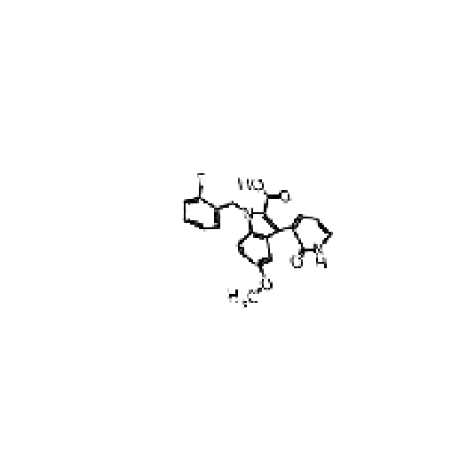 COc1ccc2c(c1)c(-c1ccc[nH]c1=O)c(C(=O)O)n2Cc1ccccc1F